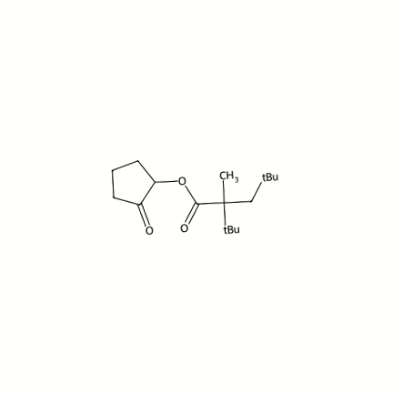 CC(C)(C)CC(C)(C(=O)OC1CCCC1=O)C(C)(C)C